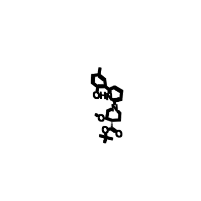 CO[C@@H]1CN(c2cccc(-c3cc(C)ccc3O)n2)CC[C@@H]1C(=O)OC(C)(C)C